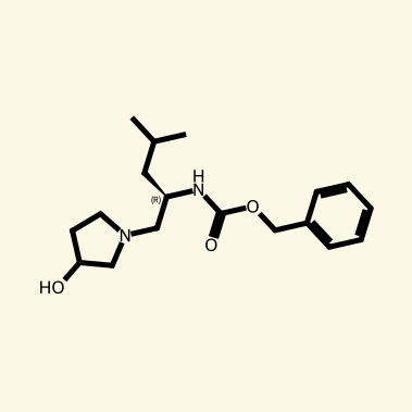 CC(C)C[C@H](CN1CCC(O)C1)NC(=O)OCc1ccccc1